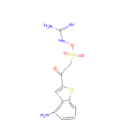 N=C(N)NOS(=O)(=O)CC(=O)c1cc2c(N)cccc2s1